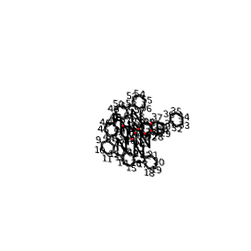 Fc1cccc(-n2c3ccccc3c3ccc4c5ccccc5n(-c5nc(-c6ccc(-c7ccccc7)cc6)nc(-n6c7ccccc7c7ccc8c9ccccc9n(-c9cccc(F)c9)c8c76)n5)c4c32)c1